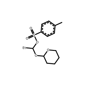 CCC(OC1CCCCO1)OS(=O)(=O)c1ccc(C)cc1